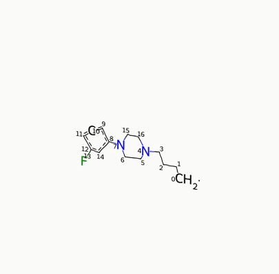 [CH2]CCCN1CCN(c2cccc(F)c2)CC1